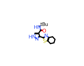 CC(C)(C)NC(=O)c1c[nH]nc1-c1nc2c(s1)CCCC2